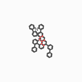 c1ccc(-c2cccc(-c3ccc(N(c4ccc(-c5ccccc5-n5c6ccccc6c6ccccc65)cc4)c4cccc(-c5ccccc5)c4-c4ccccc4-c4ccccc4)cc3)c2)cc1